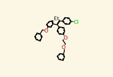 CCC(=C(c1ccc(OCCOCc2ccccc2)cc1)c1cccc(OCc2ccccc2)c1)c1ccc(Cl)cc1